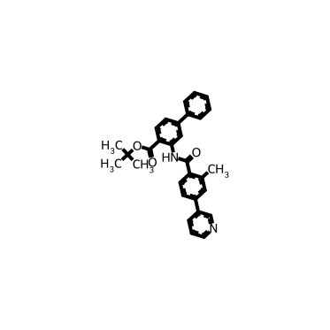 Cc1cc(-c2cccnc2)ccc1C(=O)Nc1cc(-c2ccccc2)ccc1C(=O)OC(C)(C)C